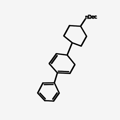 CCCCCCCCCCC1CCC(C2C=CC(c3ccccc3)=CC2)CC1